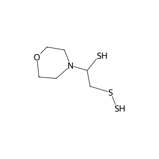 SSCC(S)N1CCOCC1